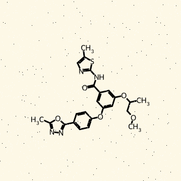 COCC(C)Oc1cc(Oc2ccc(-c3nnc(C)o3)cc2)cc(C(=O)Nc2ncc(C)s2)c1